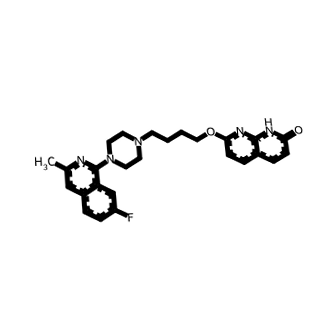 Cc1cc2ccc(F)cc2c(N2CCN(CCCCOc3ccc4ccc(=O)[nH]c4n3)CC2)n1